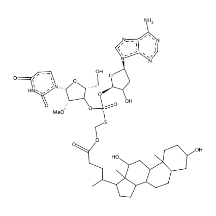 CO[C@H]1C(OP(=O)(O[C@H]2O[C@@H](n3cnc4c(N)ncnc43)CC2O)SCOC(=O)CCC(C)C2CCC3C4CCC5CC(O)CCC5(C)C4CC(O)C23C)[C@@H](CO)O[C@H]1n1ccc(=O)[nH]c1=O